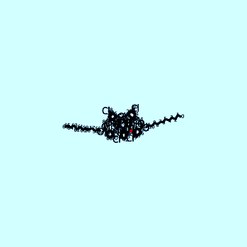 CCCCCCCCCCCCOC(=O)c1ccc(Cl)c(Nc2[nH]n(-c3c(Cl)cc(Cl)cc3OC)c(=O)c2C(c2ccccc2C)c2c(Nc3cc(C(=O)OCCCCCCCCCCCC)ccc3Cl)[nH]n(-c3c(Cl)cc(Cl)cc3OC)c2=O)c1